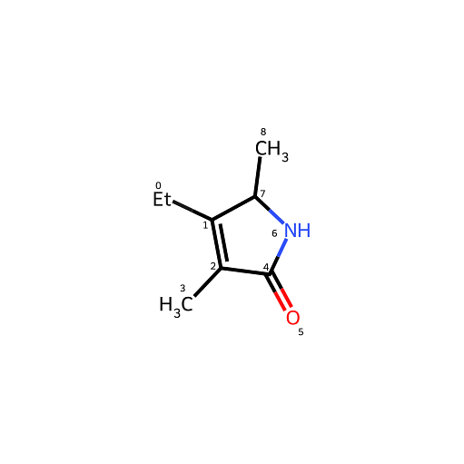 CCC1=C(C)C(=O)NC1C